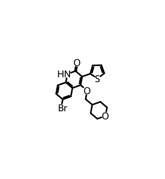 O=c1[nH]c2ccc(Br)cc2c(OCC2CCOCC2)c1-c1cccs1